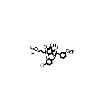 Cn1c(=O)n(CCCOPI)c(=O)c2c1nc(-c1cccc(OC(F)(F)F)c1)n2Cc1ccc(Cl)cc1